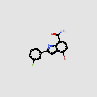 NC(=O)c1ccc(Br)c2cc(-c3cccc(F)c3)[nH]c12